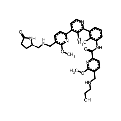 COc1nc(C(=O)Nc2cccc(-c3nccc(-c4ccc(CNC[C@H]5CCC(=O)N5)c(OC)n4)c3Cl)c2C)ccc1CNCCO